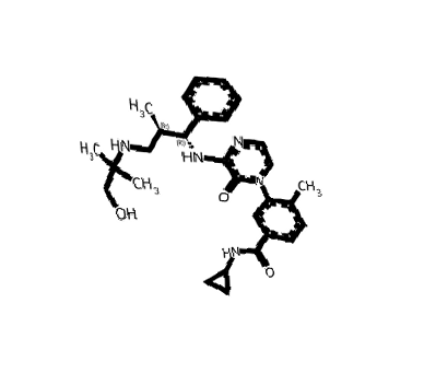 Cc1ccc(C(=O)NC2CC2)cc1-n1ccnc(N[C@@H](c2ccccc2)[C@H](C)CNC(C)(C)CO)c1=O